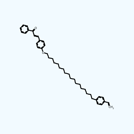 C=Cc1ccc(CCCCCCCCCCCCCCCCCCOc2ccc(/C=C/C(=O)c3ccccc3)cc2)cc1